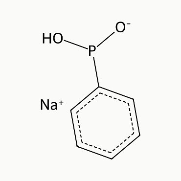 [Na+].[O-]P(O)c1ccccc1